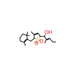 CC/C=C(\C)C(O)C1C=C(C)C(CC2=C(C)CCCC2(C)C)S1(=O)=O